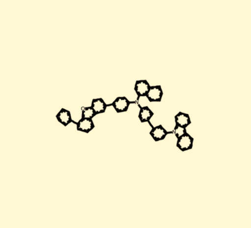 c1ccc(-c2cccc3c2oc2ccc(-c4ccc(N(c5ccc(-c6cccc(-n7c8ccccc8c8ccccc87)c6)cc5)c5cccc6ccccc56)cc4)cc23)cc1